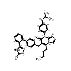 CCCCc1c(Cc2ccc(-c3ccccc3C3=NOC(O)N3)cc2)c(=O)n(-c2ccc(OC(C)C)cc2)c2nncn12